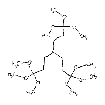 COC(CCN(CCC(OC)(OC)OC)CCC(OC)(OC)OC)(OC)OC